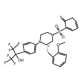 COc1ccccc1C[C@H]1CN(S(=O)(=O)C2=CC=CCC2=S)CCN1c1ccc(C(O)(C(F)(F)F)C(F)(F)F)cc1